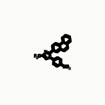 O=[N+]([O-])c1ccc(-n2cc(C(F)(F)F)nc2-c2ccc3c(ccc4ccccc43)c2)cc1